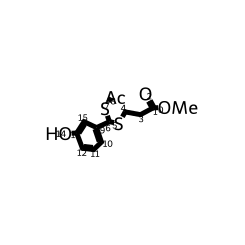 COC(=O)CCSC(SC(C)=O)c1cccc(O)c1